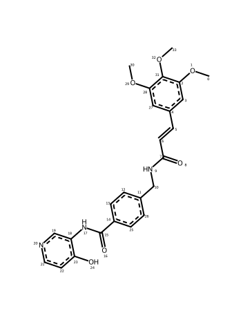 COc1cc(/C=C/C(=O)NCc2ccc(C(=O)Nc3cnccc3O)cc2)cc(OC)c1OC